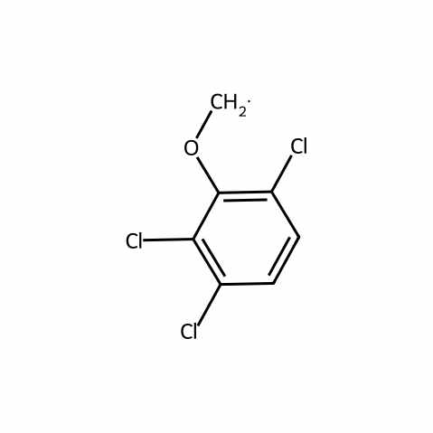 [CH2]Oc1c(Cl)ccc(Cl)c1Cl